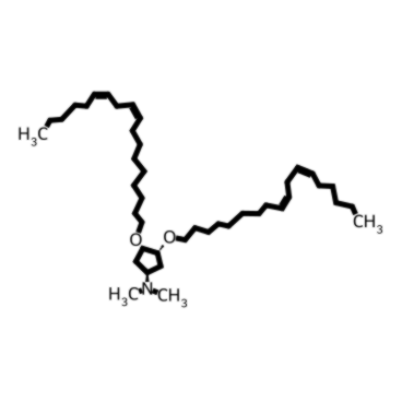 CCCCC/C=C\C/C=C\CCCCCCCCO[C@H]1C[C@H](N(C)C)C[C@H]1OCCCCCCCC/C=C\C/C=C\CCCCC